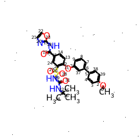 COc1ccc(-c2cccc(Oc3ccc(C(=O)Nc4ncco4)cc3S(=O)(=O)NC(=O)NC(C)(C)C)c2)cc1